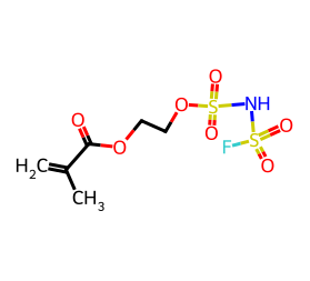 C=C(C)C(=O)OCCOS(=O)(=O)NS(=O)(=O)F